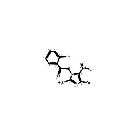 Cc1nc(Br)c([N+](=O)[O-])n1CC(=O)c1ccccc1I